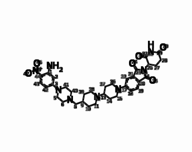 Nc1cc(N2CCN(CC3CCN(C4CCN(c5ccc6c(c5)C(=O)N(C5CCC(=O)NC5=O)C6=O)CC4)CC3)CC2)ccc1[N+](=O)[O-]